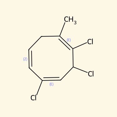 C/C1=C(\Cl)C(Cl)/C=C(Cl)\C=C/C1